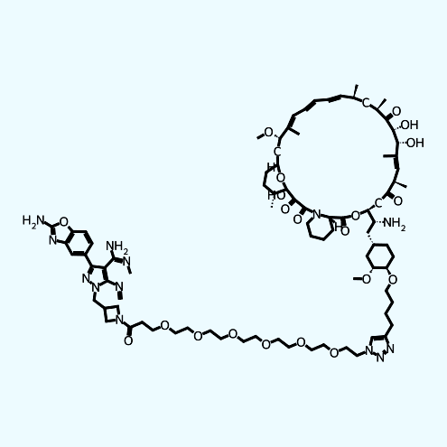 C=Nc1c(/C(N)=N\C)c(-c2ccc3oc(N)nc3c2)nn1CC1CN(C(=O)CCOCCOCCOCCOCCOCCOCCn2cc(CCCCO[C@@H]3CC[C@@H](C[C@@H](N)[C@@H]4CC(=O)[C@H](C)/C=C(\C)[C@@H](O)[C@@H](O)C(=O)[C@H](C)C[C@H](C)/C=C/C=C/C=C(\C)[C@@H](OC)C[C@@H]5CC[C@@H](C)[C@@](O)(O5)C(=O)C(=O)N5CCCC[C@H]5C(=O)O4)C[C@H]3OC)nn2)C1